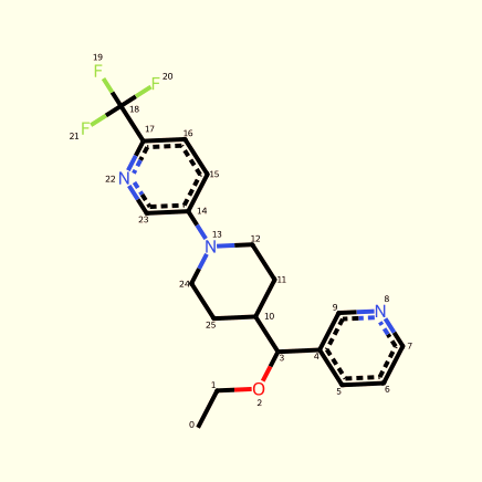 CCOC(c1cccnc1)C1CCN(c2ccc(C(F)(F)F)nc2)CC1